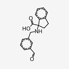 O=Cc1cccc(CNC2(C(=O)O)CCc3ccccc32)c1